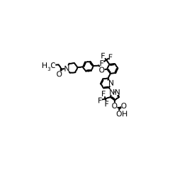 CCC(=O)N1CCC(c2ccc(COc3c(-c4cccc(-n5ncc(OC(=O)O)c5C(F)(F)F)n4)cccc3C(F)(F)F)cc2)CC1